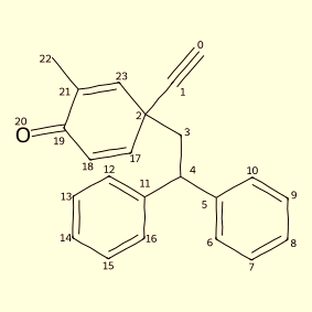 C#CC1(CC(c2ccccc2)c2ccccc2)C=CC(=O)C(C)=C1